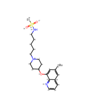 CCCCc1cc(OC2CCN(CCCCCNS(=O)(=O)CC)CC2)c2ncccc2c1